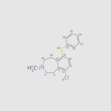 CN1CCc2c(Cl)ccc(Sc3ccccc3)c2CC1